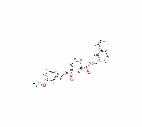 COc1cccc(COC(=O)c2cccc(C(=O)OCc3cccc(OC)c3)c2)c1